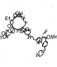 CC[C@H]1OC(=O)[C@H](C)[C@@H](O[C@H]2C[C@@](C)(OC)[C@@H](O)[C@H](C)O2)[C@H](C)[C@@H](O[C@H]2C[C@@H](N(C)CCc3cn([C@H](CF)[C@H](OC)c4ccc(CN5CCN(C)CC5)cc4)nn3)C[C@@H](C)O2)[C@](C)(O)C[C@@H](C)CN(C)[C@H](C)[C@@H](O)[C@]1(C)O